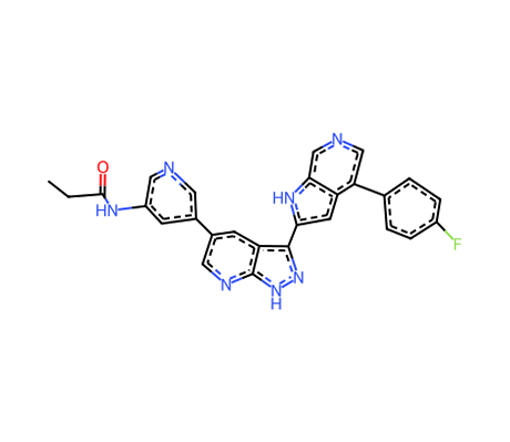 CCC(=O)Nc1cncc(-c2cnc3[nH]nc(-c4cc5c(-c6ccc(F)cc6)cncc5[nH]4)c3c2)c1